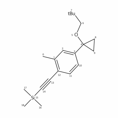 Cc1cc(C2(OCC(C)(C)C)CC2)ccc1C#C[Si](C)(C)C